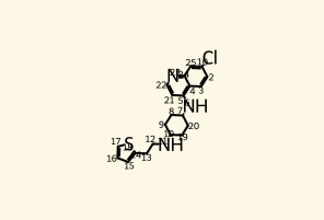 Clc1ccc2c(N[C@H]3CC[C@@H](NCCc4cccs4)CC3)ccnc2c1